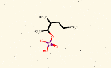 O=C(O)CCC(C(=O)O)C(OP(=O)(O)O)C(=O)O